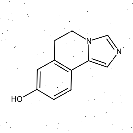 Oc1ccc2c(c1)CCn1cncc1-2